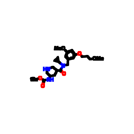 COCCCOc1cc(CN(C(=O)C2CNCC(NC(=O)OC(C)(C)C)C2)C2CC2)cc(OC)c1